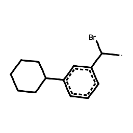 [CH2]C(Br)c1cccc(C2CCCCC2)c1